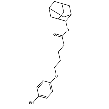 CCC(C)c1ccc(OCCCCC(=O)OC2C3CC4CC(C3)CC2C4)cc1